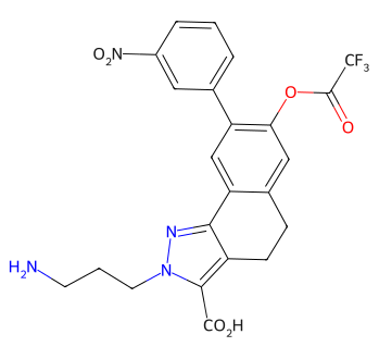 NCCCn1nc2c(c1C(=O)O)CCc1cc(OC(=O)C(F)(F)F)c(-c3cccc([N+](=O)[O-])c3)cc1-2